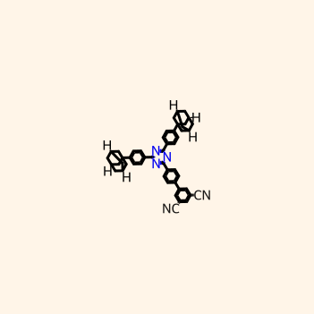 N#Cc1cc(C#N)cc(-c2ccc(-c3nc(-c4ccc(C56C[C@H]7C[C@@H](C5)C[C@@H](C6)C7)cc4)nc(-c4ccc(C56C[C@H]7C[C@H](C5)C[C@@H](C6)C7)cc4)n3)cc2)c1